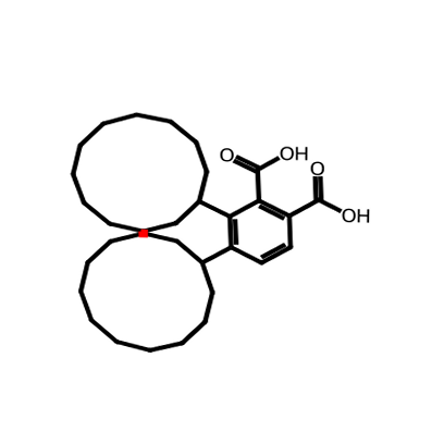 O=C(O)c1ccc(C2CCCCCCCCCCC2)c(C2CCCCCCCCCCC2)c1C(=O)O